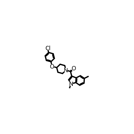 Cc1ccc2c(c1)c(C(=O)N1CCC(Oc3ccc(Cl)cc3)CC1)cn2C